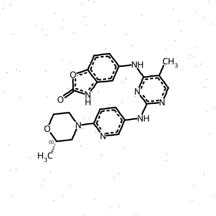 Cc1cnc(Nc2ccc(N3CCO[C@@H](C)C3)nc2)nc1Nc1ccc2oc(=O)[nH]c2c1